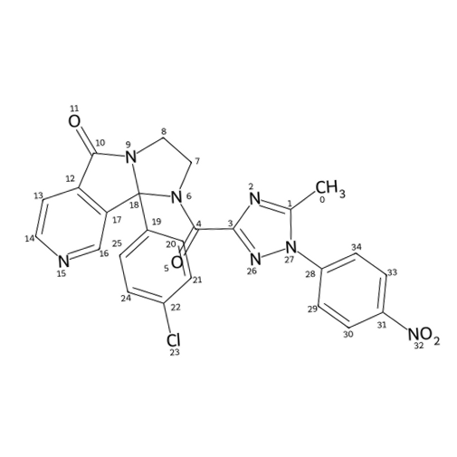 Cc1nc(C(=O)N2CCN3C(=O)c4ccncc4C23c2ccc(Cl)cc2)nn1-c1ccc([N+](=O)[O-])cc1